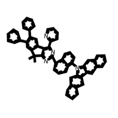 CC1(C)c2cc(-c3ccccc3)c(-c3ccccc3)cc2-c2c(-c3ccccn3)nc(-c3cccc4c(-n5c6cc7ccccc7cc6c6cc7ccccc7cc65)cccc34)nc21